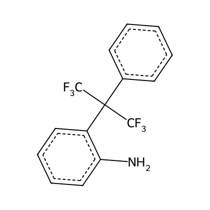 Nc1ccccc1C(c1ccccc1)(C(F)(F)F)C(F)(F)F